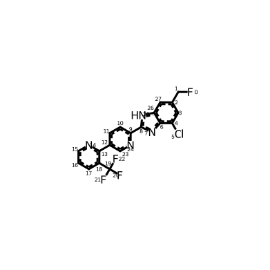 FCc1cc(Cl)c2nc(-c3ccc(-c4ncccc4C(F)(F)F)cn3)[nH]c2c1